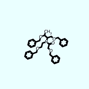 CC(OCc1ccccc1)C(COCc1ccccc1)N(CCOCc1ccccc1)C(=O)COCc1ccccc1